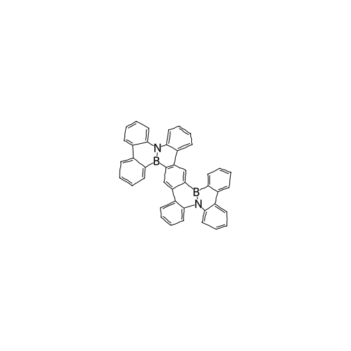 c1ccc2c(c1)B1c3cc4c(cc3-c3ccccc3N1c1ccccc1-2)B1c2ccccc2-c2ccccc2N1c1ccccc1-4